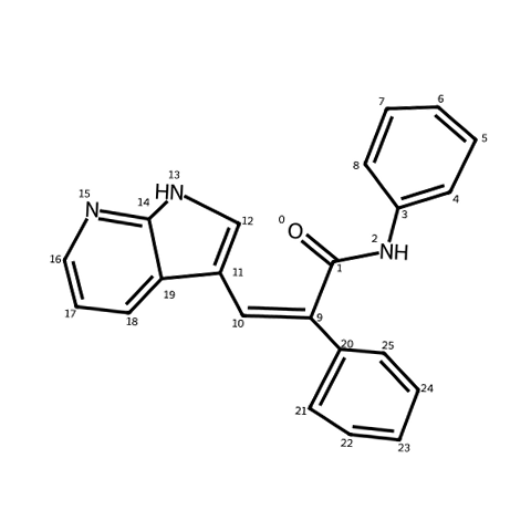 O=C(Nc1ccccc1)C(=Cc1c[nH]c2ncccc12)c1ccccc1